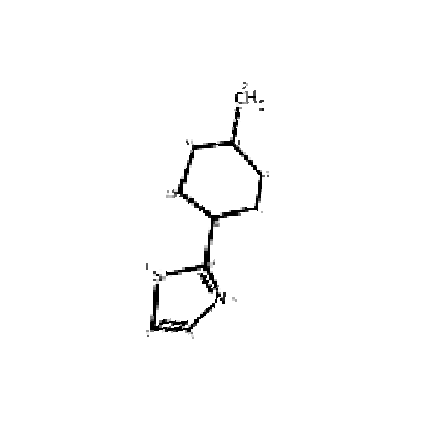 CC1CCC(c2nccs2)CC1